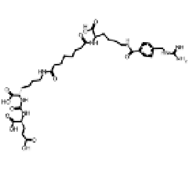 N=C(N)NCc1ccc(C(=O)NCCCCC(NC(=O)CCCCCCC(=O)NCCCC[C@H](NC(=O)N[C@@H](CCC(=O)O)C(=O)O)C(=O)O)C(=O)O)cc1